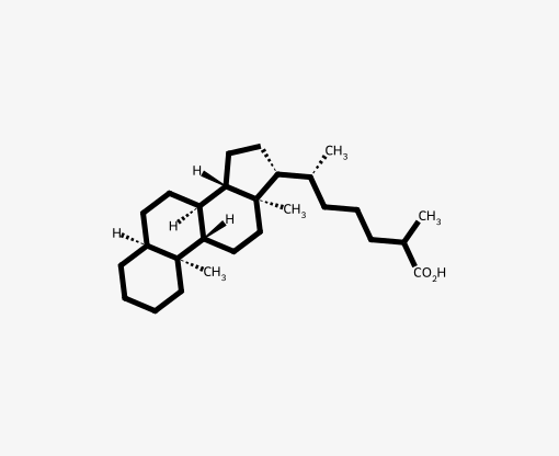 CC(CCC[C@@H](C)[C@H]1CC[C@H]2[C@@H]3CC[C@@H]4CCCC[C@]4(C)[C@H]3CC[C@]12C)C(=O)O